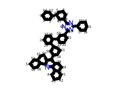 c1ccc(-c2cccc(-c3nc(-c4ccccc4)nc(-c4cccc(-c5ccccc5-c5cccc(-c6c7ccc8ccccc8c7nc7c6ccc6ccccc67)c5)c4)n3)c2)cc1